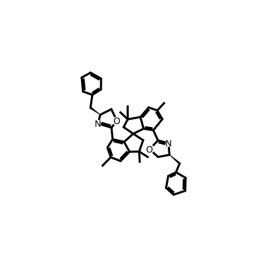 Cc1cc(C2=N[C@@H](Cc3ccccc3)CO2)c2c(c1)C(C)(C)CC21CC(C)(C)c2cc(C)cc(C3=N[C@@H](Cc4ccccc4)CO3)c21